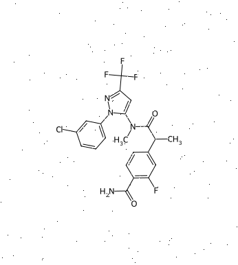 CC(C(=O)N(C)c1cc(C(F)(F)F)nn1-c1cccc(Cl)c1)c1ccc(C(N)=O)c(F)c1